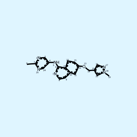 Cc1ncc(Nc2nccc3cc(OCc4cnn(C)c4)ccc23)cn1